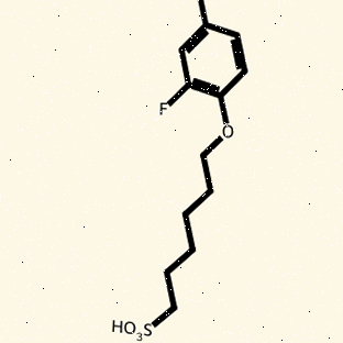 O=Cc1ccc(OCCCCCCS(=O)(=O)O)c(F)c1